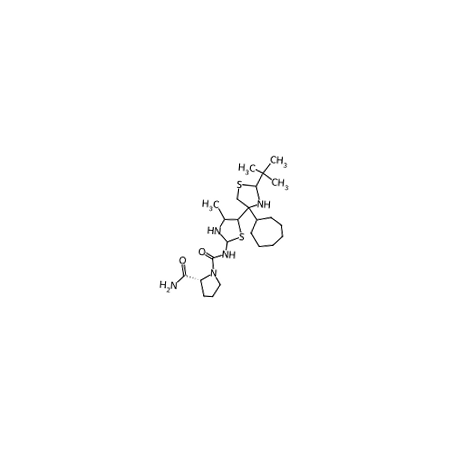 CC1NC(NC(=O)N2CCC[C@@H]2C(N)=O)SC1C1(C2CCCCCC2)CSC(C(C)(C)C)N1